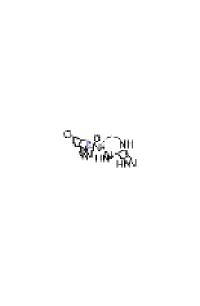 O=C(/C=C/c1cc(Cl)ccc1-n1cnnn1)N[C@H]1CCCCCNc2cc3cn[nH]c3cc2-c2c[nH]c1n2